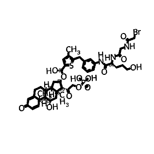 Cc1cc([C@@H](O)O[C@@H]2C[C@H]3[C@@H]4CCC5=CC(=O)C=C[C@]5(C)[C@H]4[C@@H](O)C[C@]3(C)[C@H]2C(=O)COP(=O)(O)O)sc1Cc1cccc(NC(=O)[C@H](CCCO)NC(=O)CNC(=O)CBr)c1